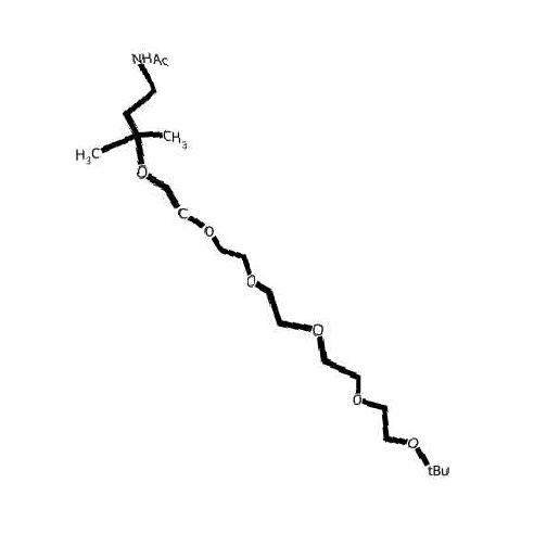 CC(=O)NCCC(C)(C)OCCOCCOCCOCCOCCOC(C)(C)C